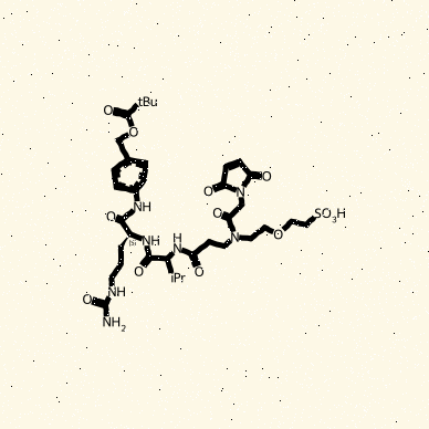 CC(C)C(NC(=O)CCN(CCOCCS(=O)(=O)O)C(=O)CN1C(=O)C=CC1=O)C(=O)N[C@@H](CCCNC(N)=O)C(=O)Nc1ccc(COC(=O)C(C)(C)C)cc1